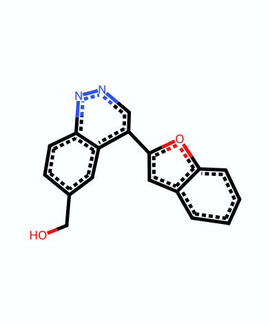 OCc1ccc2nncc(-c3cc4ccccc4o3)c2c1